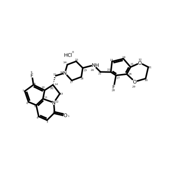 Cl.O=c1ccc2ccc(F)c3c2n1C[C@H]3CN1CCC(NCc2ccc3c(c2F)OCCO3)CC1